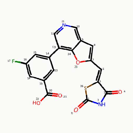 O=C1NC(=O)C(=Cc2cc3cncc(-c4cc(F)cc(C(=O)O)c4)c3o2)S1